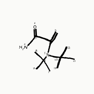 C=C(C(N)=O)N(C(C)(C)C)C(C)(C)C